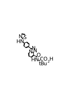 CC(C)(C)[C@H](NC(=O)c1cccn2c(-c3ccc(Nc4nccs4)cc3)nnc12)C(=O)O